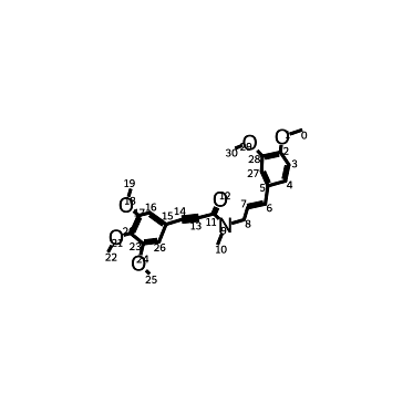 COc1ccc(C=CCN(C)C(=O)C#Cc2cc(OC)c(OC)c(OC)c2)cc1OC